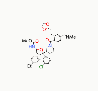 CCc1cccc(-c2c(Cl)cccc2C(O)(CCCNC(=O)OC)[C@@H]2CCCN(C(=O)c3ccc(CNC)cc3CCC3OCCO3)C2)c1